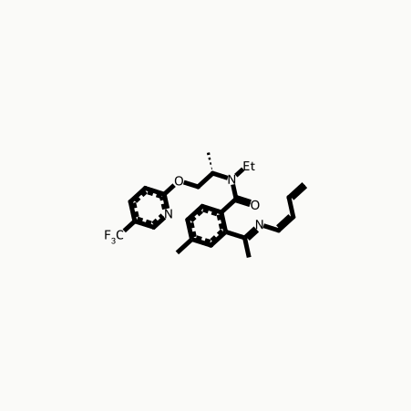 C=C/C=C\N=C(/C)c1cc(C)ccc1C(=O)N(CC)[C@@H](C)COc1ccc(C(F)(F)F)cn1